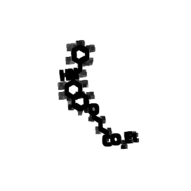 CCOC(=O)CCCCOc1ccc2c(c1)CC(NCc1ccccc1)CC2